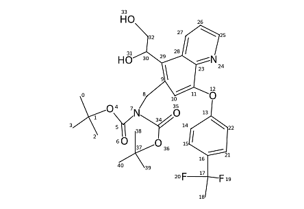 CC(C)(C)OC(=O)N(Cc1cc(Oc2ccc(C(C)(F)F)cc2)c2ncccc2c1C(O)CO)C(=O)OC(C)(C)C